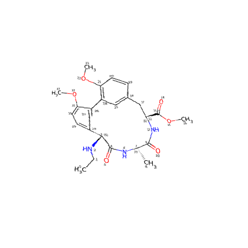 CCN[C@@H]1C(=O)N[C@@H](C)C(=O)N[C@H](C(=O)OC)Cc2ccc(OC)c(c2)-c2cc1ccc2OC